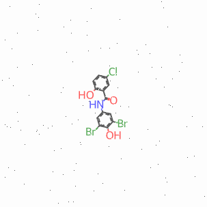 O=C(Nc1cc(Br)c(O)c(Br)c1)c1cc(Cl)ccc1O